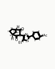 CCc1sc(-c2ccc(C(C)=O)cc2)nc1C1C(=O)[C@@H]2CC[C@@H](C2)C1=O